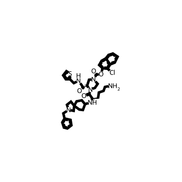 NCCCC[C@@H](NC1CCC2(CC1)CCN(Cc1ccccc1)C2)C(=O)N1CCN(C(=O)Oc2ccc3ccccc3c2Cl)C[C@H]1C(=O)NCc1cccs1